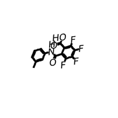 Cc1cccc(NC(=O)c2c(F)c(F)c(F)c(F)c2C(=O)O)c1